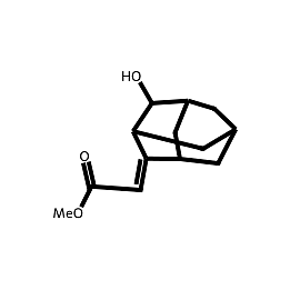 COC(=O)C=C1C2CC3CC(C2)C(O)C1C3